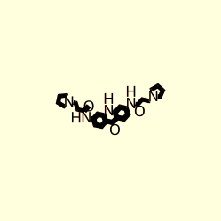 O=C(CCN1CCCC1)Nc1ccc2c(=O)c3ccc(NC(=O)CCN4CCCC4)cc3[nH]c2c1